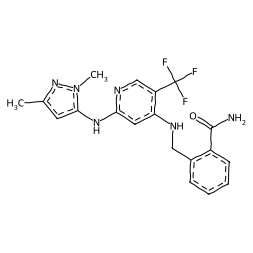 Cc1cc(Nc2cc(NCc3ccccc3C(N)=O)c(C(F)(F)F)cn2)n(C)n1